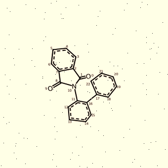 O=C1c2ccccc2C(=O)N1c1ccccc1-c1ccccc1